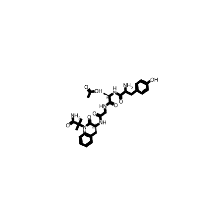 CC(=O)O.C[C@@H](NC(=O)C(N)Cc1ccc(O)cc1)C(=O)NCC(=O)N[C@@H](Cc1ccccc1)C(=O)NC(C)(C)C(N)=O